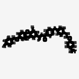 C/C(=C\C(=O)N1CCN(Cc2ccc(CCOc3ccc(C(C)C)cc3)cc2)CC1)c1cc(C)c(Oc2ccc(OCc3ccc(C)cc3)cn2)c(Cl)c1